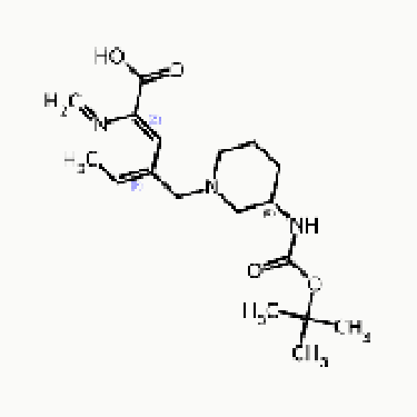 C=N/C(=C\C(=C/C)CN1CCC[C@@H](NC(=O)OC(C)(C)C)C1)C(=O)O